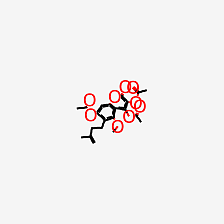 C=C(C)CCc1c(OC(C)=O)cc2oc(=O)c(OC(C)=O)c(OC(C)=O)c2c1OC